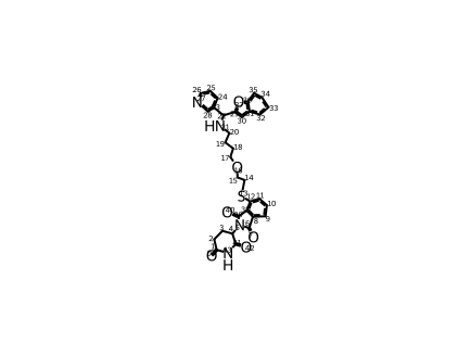 O=C1CCC(N2C(=O)c3cccc(SCCOCCCCNC(c4cccnc4)c4cc5ccccc5o4)c3C2=O)C(=O)N1